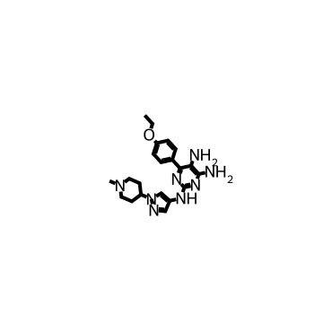 CCOc1ccc(-c2nc(Nc3cnn(C4CCN(C)CC4)c3)nc(N)c2N)cc1